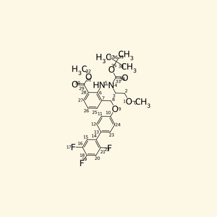 COCCN(Nc1c(COc2ccc(-c3cc(F)c(F)cc3F)cc2)cccc1C(=O)OC)C(=O)OC(C)(C)C